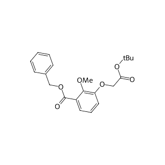 COc1c(OCC(=O)OC(C)(C)C)cccc1C(=O)OCc1ccccc1